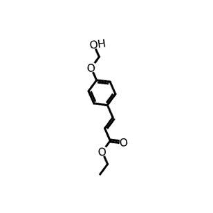 CCOC(=O)C=Cc1ccc(OCO)cc1